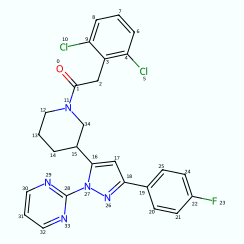 O=C(Cc1c(Cl)cccc1Cl)N1CCCC(c2cc(-c3ccc(F)cc3)nn2-c2ncccn2)C1